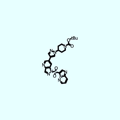 CC(C)(C)OC(=O)N1CCC(n2cc(-c3cnc4cnn(S(=O)(=O)c5cnc6cccnn56)c4c3)cn2)CC1